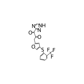 O=C(Cc1cc(Sc2ccccc2C(F)(F)F)co1)C(=O)c1nc[nH]n1